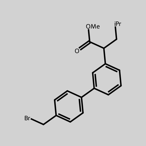 COC(=O)C(CC(C)C)c1cccc(-c2ccc(CBr)cc2)c1